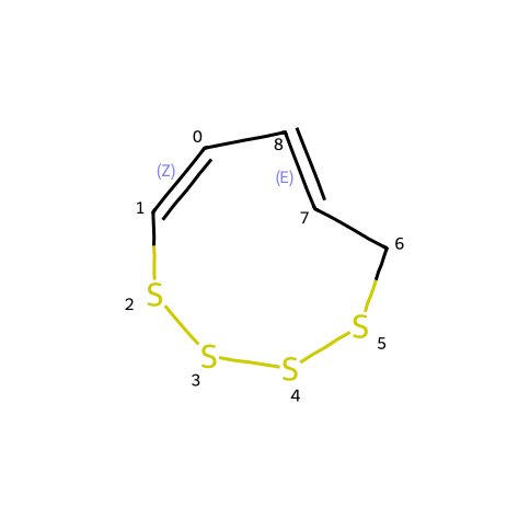 C1=C\SSSSC/C=C/1